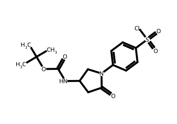 CC(C)(C)OC(=O)NC1CC(=O)N(c2ccc(S(=O)(=O)Cl)cc2)C1